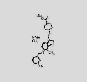 CNC.Cc1c(OCc2cccc(C#N)n2)ccc2c(CCC3CCN(C(=O)OC(C)(C)C)CC3)noc12